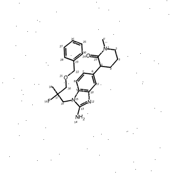 CN1CCCC(c2ccc3c(c2)nc(N)n3CC(C)(F)COCc2ccccc2)C1=O